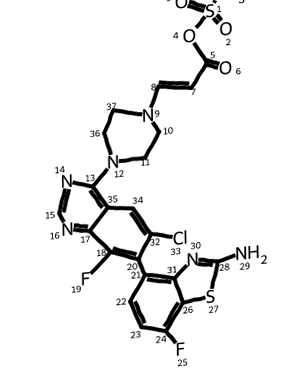 CS(=O)(=O)OC(=O)C=CN1CCN(c2ncnc3c(F)c(-c4ccc(F)c5sc(N)nc45)c(Cl)cc23)CC1